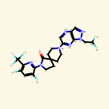 O=C1N(c2nc(C(F)(F)F)c(F)cc2F)CCC12CCN(c1cnc3cnn(CC(F)F)c3n1)CC2